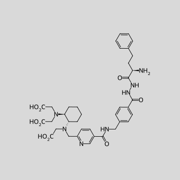 N[C@H](CCc1ccccc1)C(=O)NNC(=O)c1ccc(CNC(=O)c2ccc(CN(CC(=O)O)[C@H]3CCCC[C@@H]3N(CC(=O)O)CC(=O)O)nc2)cc1